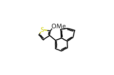 COc1sccc1-c1cccc2ccccc12